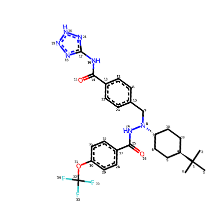 CC(C)(C)[C@H]1CC[C@H](N(Cc2ccc(C(=O)Nc3nn[nH]n3)cc2)NC(=O)c2ccc(OC(F)(F)F)cc2)CC1